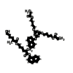 C=C(CCCCO)C(=O)OCCCCC(=C)C(=O)Oc1cccc2ccccc12.C=CC(=O)OCCCCOc1nc(OCCCCOC(=O)C=C)nc(Oc2cccc3ccccc23)n1